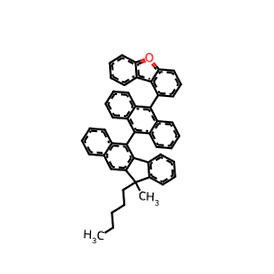 CCCCCC1(C)c2ccccc2-c2c1cc1ccccc1c2-c1c2ccccc2c(-c2cccc3oc4ccccc4c23)c2ccccc12